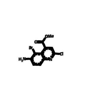 COC(=O)c1cc(Cl)nc2ccc(N)c(Br)c12